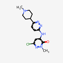 CN1CCC(c2ccc(Nc3cc(Cl)nn(C)c3=O)nn2)CC1